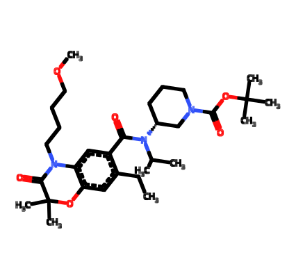 CCc1cc2c(cc1C(=O)N(C(C)C)[C@@H]1CCCN(C(=O)OC(C)(C)C)C1)N(CCCCOC)C(=O)C(C)(C)O2